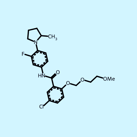 COCCOCOc1ccc(Cl)cc1C(=O)Nc1ccc(N2CCCC2C)c(F)c1